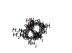 C[C@@H]1NC(=O)[C@@H]2CSS[C@H](NC(=O)[C@H](Cc3c[nH]c4ccccc34)NC(=O)[C@H](CCCCN)NC[C@](C=O)(CCCCN)NC(=O)[C@H](CCCCN)NC1=O)C(=O)N1CCC[C@H]1C(=O)N[C@@H](Cc1c[nH]cn1)C(=O)N[C@H](Cc1ccccc1)C(=O)N[C@@H](Cc1c[nH]cn1)C(=O)N[C@@H](Cc1c[nH]c3ccccc13)C(=O)N2